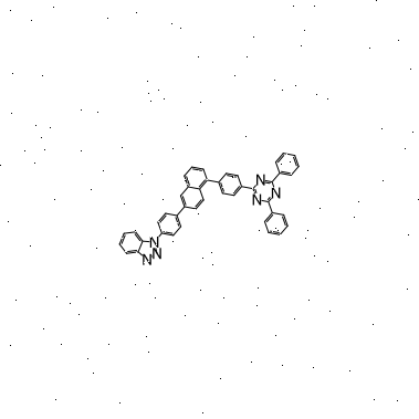 c1ccc(-c2nc(-c3ccccc3)nc(-c3ccc(-c4cccc5cc(-c6ccc(-n7nnc8ccccc87)cc6)ccc45)cc3)n2)cc1